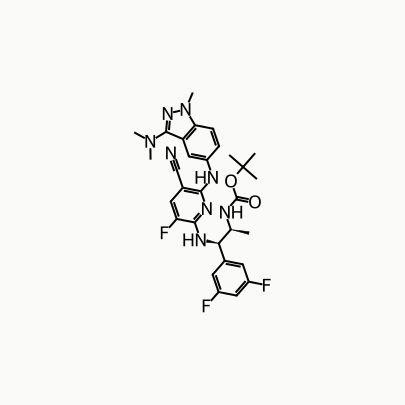 C[C@H](NC(=O)OC(C)(C)C)[C@H](Nc1nc(Nc2ccc3c(c2)c(N(C)C)nn3C)c(C#N)cc1F)c1cc(F)cc(F)c1